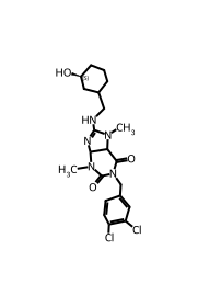 CN1C(=O)N(Cc2ccc(Cl)c(Cl)c2)C(=O)C2C1N=C(NCC1CCC[C@H](O)C1)N2C